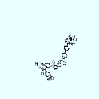 CN/C=N\C(=N)c1ccc(C2=CCN(C(=O)CN3CC[C@]4(CCN(c5ccc(N)c(C(=N)C6CCS(=O)(=O)CC6)c5)C4=O)C3)CC2)cc1